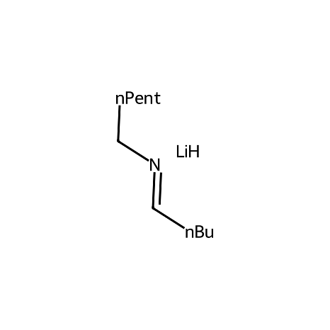 [CH2]CCCC=NCCCCCC.[LiH]